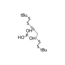 CC(C)(C)SSC#CCCSSC(C)(C)C.OP(O)O